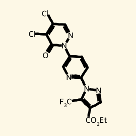 CCOC(=O)c1cnn(-c2ccc(-n3ncc(Cl)c(Cl)c3=O)cn2)c1C(F)(F)F